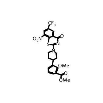 COC(=O)c1cccc(C2CCN(c3nc(=O)c4cc(C(F)(F)F)cc([N+](=O)[O-])c4s3)CC2)c1OC